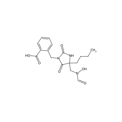 CCCCC1(CN(O)C=O)NC(=O)N(Cc2ccccc2C(=O)O)C1=O